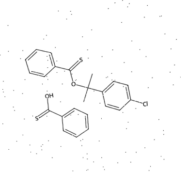 CC(C)(OC(=S)c1ccccc1)c1ccc(Cl)cc1.OC(=S)c1ccccc1